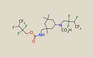 CC1(C)CC(N(CC(F)(F)C(F)C(F)(F)F)C(=O)O)CC(C)(CNC(=O)OCC(F)(F)C(F)C(F)(F)F)C1